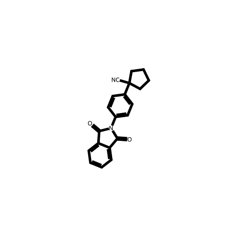 N#CC1(c2ccc(N3C(=O)c4ccccc4C3=O)cc2)CCCC1